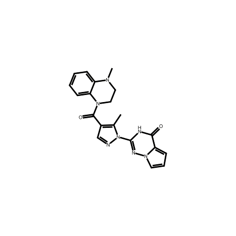 Cc1c(C(=O)N2CCN(C)c3ccccc32)cnn1-c1nn2cccc2c(=O)[nH]1